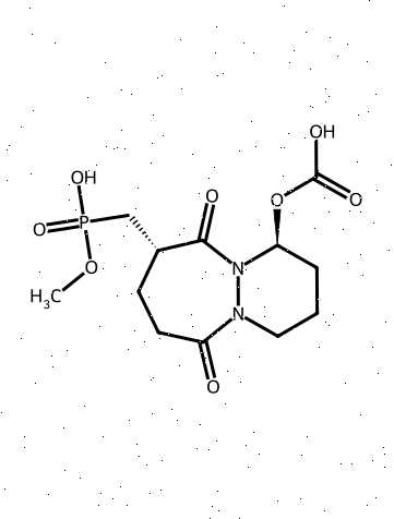 COP(=O)(O)C[C@H]1CCC(=O)N2CCC[C@H](OC(=O)O)N2C1=O